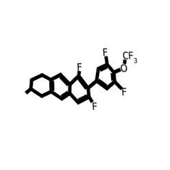 CC1CCc2cc3c(F)c(-c4cc(F)c(OC(F)(F)F)c(F)c4)c(F)cc3cc2C1